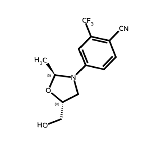 C[C@@H]1O[C@@H](CO)CN1c1ccc(C#N)c(C(F)(F)F)c1